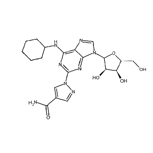 NC(=O)c1cnn(-c2nc(NC3CCCCC3)c3ncn(C4O[C@H](CO)[C@@H](O)[C@H]4O)c3n2)c1